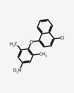 Cc1cc([N+](=O)[O-])cc(C)c1Oc1ccc(Cl)c2ccccc12